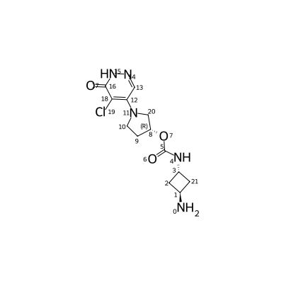 N[C@H]1C[C@H](NC(=O)O[C@@H]2CCN(c3cn[nH]c(=O)c3Cl)C2)C1